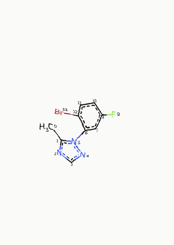 Cc1ncnn1-c1cc(F)ccc1Br